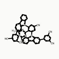 Cc1nc(C)nc(-c2c(-n3c4ccccc4c4ccc(-c5cc(C#N)cc(C#N)c5)cc43)cc(C#N)cc2-n2c3ccccc3c3ccc(-c4cc(C#N)cc(C#N)c4)cc32)n1